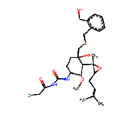 COC1C(NC(=O)NC(=O)CCl)CCC(O)(CSCc2ccccc2CO)C1C1(C)OC1CC=C(C)C